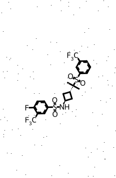 CC(C)([C@H]1C[C@H](NS(=O)(=O)c2ccc(F)c(C(F)(F)F)c2)C1)S(=O)(=O)c1cccc(C(F)(F)F)c1